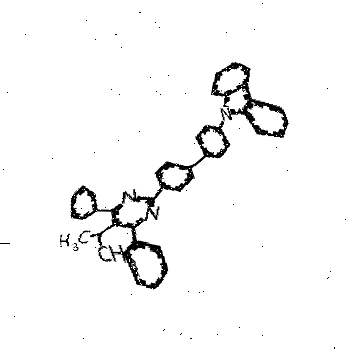 CC(C)c1c(-c2ccccc2)nc(-c2ccc(-c3ccc(-n4c5ccccc5c5ccccc54)cc3)cc2)nc1-c1ccccc1